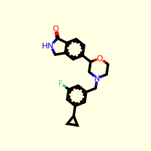 O=C1NCc2cc(C3CN(Cc4cc(F)cc(C5CC5)c4)CCO3)ccc21